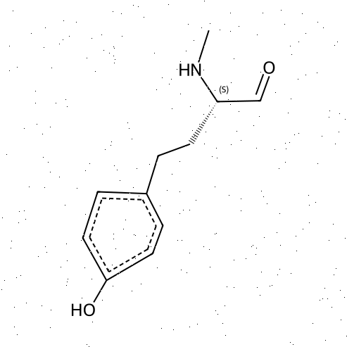 CN[C@H](C=O)CCc1ccc(O)cc1